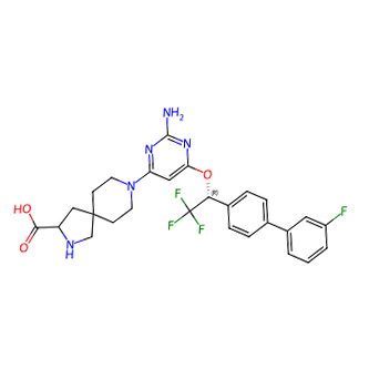 Nc1nc(O[C@H](c2ccc(-c3cccc(F)c3)cc2)C(F)(F)F)cc(N2CCC3(CC2)CNC(C(=O)O)C3)n1